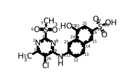 Cc1nc(S(C)(=O)=O)nc(Nc2ccc3cc(S(=O)(=O)O)cc(O)c3c2)c1Cl